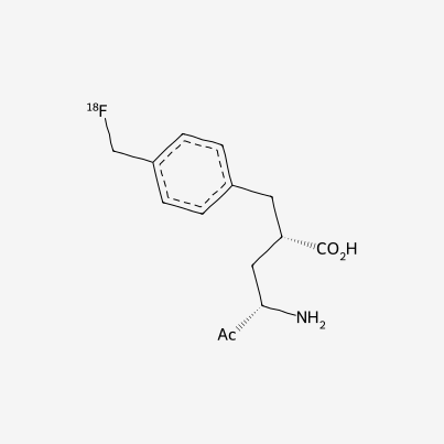 CC(=O)[C@@H](N)C[C@H](Cc1ccc(C[18F])cc1)C(=O)O